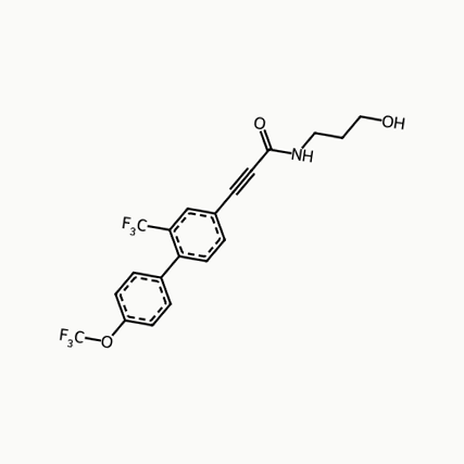 O=C(C#Cc1ccc(-c2ccc(OC(F)(F)F)cc2)c(C(F)(F)F)c1)NCCCO